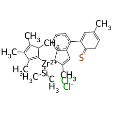 CC1=CCC(=S)C(c2cccc3c2C=C(C)[CH]3[Zr+2]([C]2=C(C)C(C)=C(C)C2C)=[Si](C)C)=C1.[Cl-].[Cl-]